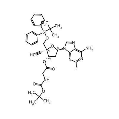 C#C[C@]1(CO[Si](c2ccccc2)(c2ccccc2)C(C)(C)C)O[C@@H](n2cnc3c(N)nc(F)nc32)C[C@@H]1OC(=O)CNC(=O)OC(C)(C)C